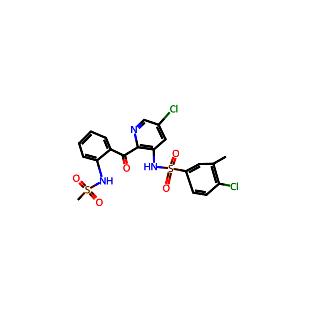 Cc1cc(S(=O)(=O)Nc2cc(Cl)cnc2C(=O)c2ccccc2NS(C)(=O)=O)ccc1Cl